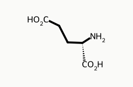 N[C@@H](CCC(=O)O)[13C](=O)O